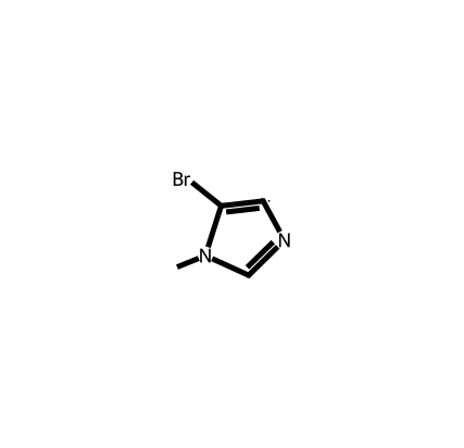 Cn1cn[c]c1Br